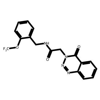 O=C(Cn1nnc2ccccc2c1=O)NCc1ccccc1OC(F)(F)F